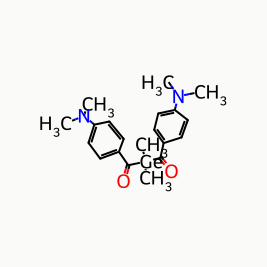 CN(C)c1ccc([C](=O)[Ge]([CH3])([CH3])[C](=O)c2ccc(N(C)C)cc2)cc1